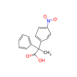 CC(C(=O)O)(c1ccccc1)c1ccc([N+](=O)[O-])cc1